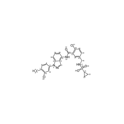 Cc1ccc(-n2ncc3c(NC(=O)c4cc(CNS(=O)(=O)C5CC5)ccc4Cl)cccc32)cc1Cl